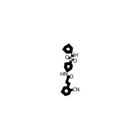 N#Cc1ccccc1C=CC(=O)Nc1ccc(S(=O)(=O)Nc2ccccc2)cc1